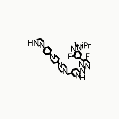 Cc1nc2c(F)cc(-c3nc(Nc4ccc(CN5CCN(C6CCN(c7ccc(N8C=CCNC8)cc7)CC6)CC5)cn4)ncc3F)cc2n1C(C)C